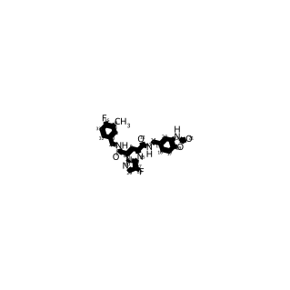 Cc1cc(CNC(=O)c2cc(C(=O)NCc3ccc4oc(=O)[nH]c4c3)nc3c(F)cnn23)ccc1F